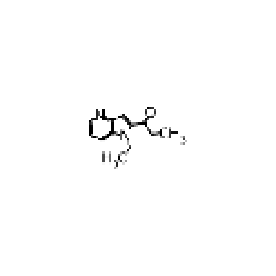 CCC(=O)c1cc2ncccc2n1CC